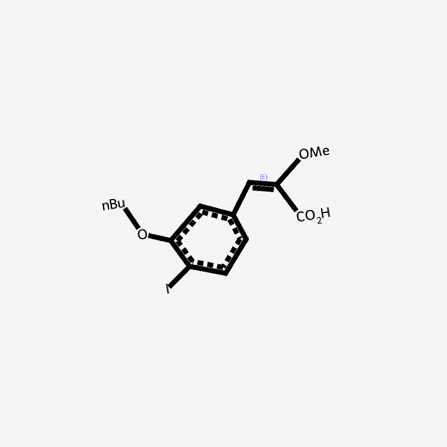 CCCCOc1cc(/C=C(/OC)C(=O)O)ccc1I